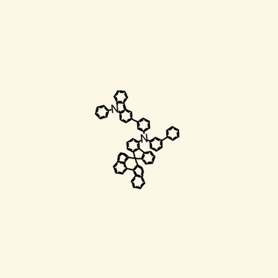 c1ccc(-c2cccc(N(c3cccc(-c4ccc5c(c4)c4ccccc4n5-c4ccccc4)c3)c3cccc4c3-c3ccccc3C43c4ccc5ccccc5c4-c4cccc5cccc3c45)c2)cc1